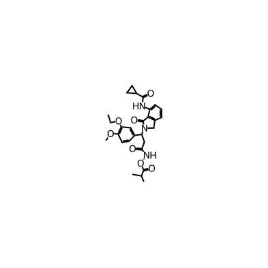 CCOc1cc(C(CC(=O)NOC(=O)C(C)C)N2Cc3cccc(NC(=O)C4CC4)c3C2=O)ccc1OC